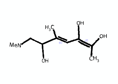 CNCC(O)/C(C)=C/C(O)=C(\C)O